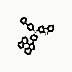 c1ccc(-c2ccc(N(c3ccc(-c4ccc5ccccc5c4-c4cccc5ccccc45)cc3)c3ccc4c(c3)oc3ccccc34)cc2)cc1